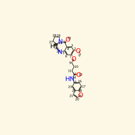 COc1cc2c(cc1OCCCC(=O)Nc1ccc3occc3c1)N=C[C@@H]1CCCN1C2=O